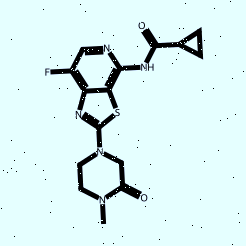 CN1CCN(c2nc3c(F)cnc(NC(=O)C4CC4)c3s2)CC1=O